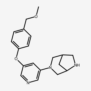 COCc1ccc(Oc2cncc(N3CC4CNC(C4)C3)c2)cc1